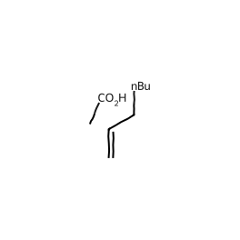 C=CCCCCC.CC(=O)O